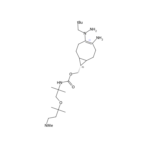 CNCCC(C)(C)OCC(C)(C)NC(=O)OC[C@H]1C2CC/C(N)=C(/N(N)CC(C)(C)C)CCC21